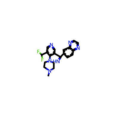 CN1CCN(c2c(C(=N)c3ccc4nccnc4c3)cncc2C(F)F)CC1